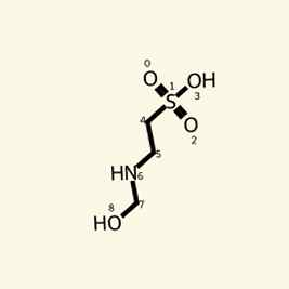 O=S(=O)(O)CCNCO